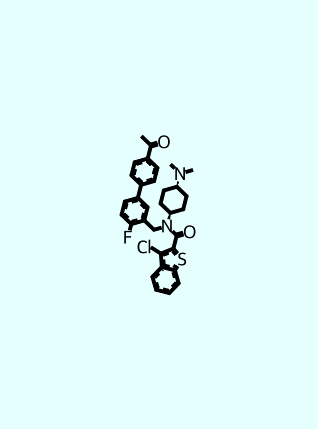 CC(=O)c1ccc(-c2ccc(F)c(CN(C(=O)c3sc4ccccc4c3Cl)[C@H]3CC[C@H](N(C)C)CC3)c2)cc1